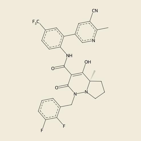 Cc1ncc(-c2cc(C(F)(F)F)ccc2NC(=O)C2=C(O)[C@@]3(C)CCCN3N(Cc3cccc(F)c3F)C2=O)cc1C#N